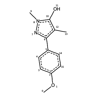 COc1ccc(-c2nn(C)c(O)c2C)cc1